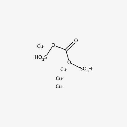 O=C(OS(=O)(=O)O)OS(=O)(=O)O.[Cu].[Cu].[Cu].[Cu]